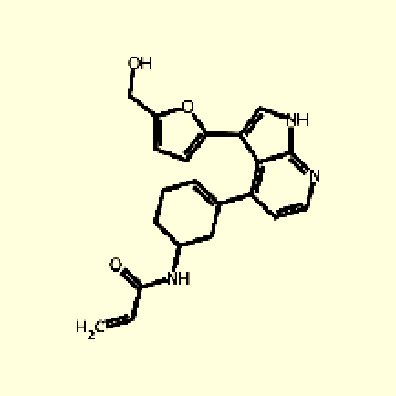 C=CC(=O)NC1CCC=C(c2ccnc3[nH]cc(-c4ccc(CO)o4)c23)C1